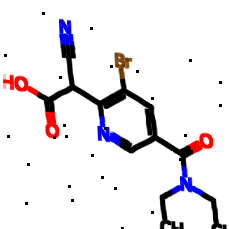 CCN(CC)C(=O)c1cnc(C(C#N)C(=O)O)c(Br)c1